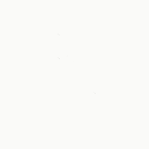 O=C(O)c1c(NC2CCCCO2)sc2c1CC(CN1C(=O)c3cccnc3C1=O)OC2